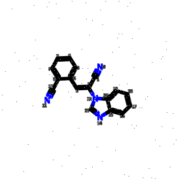 N#CC(=Cc1ccccc1C#N)n1cnc2ccccc21